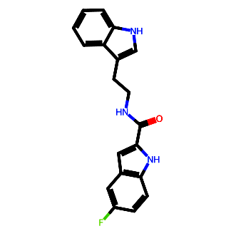 O=C(NCCc1c[nH]c2ccccc12)c1cc2cc(F)ccc2[nH]1